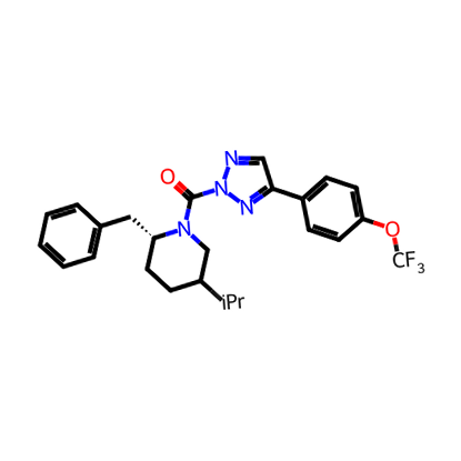 CC(C)C1CC[C@H](Cc2ccccc2)N(C(=O)n2ncc(-c3ccc(OC(F)(F)F)cc3)n2)C1